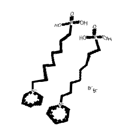 O=P(O)(O)CCCCCCCC[n+]1ccccc1.O=P(O)(O)CCCCCCCC[n+]1ccccc1.[Br-].[Br-]